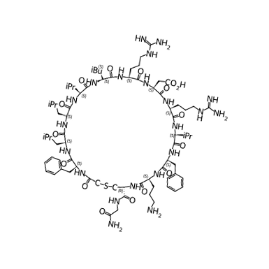 CC[C@H](C)[C@@H]1NC(=O)[C@H](C(C)C)NC(=O)[C@H](CC(C)C)NC(=O)[C@H](CC(C)C)NC(=O)[C@H](Cc2ccccc2)NC(=O)CSC[C@@H](C(=O)NCC(N)=O)NC(=O)[C@H](CCCN)NC(=O)[C@H](Cc2ccccc2)NC(=O)[C@H](C(C)C)NC(=O)[C@H](CCCNC(=N)N)NC(=O)[C@H](CC(=O)O)NC(=O)[C@H](CCCNC(=N)N)NC1=O